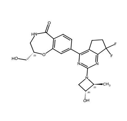 C[C@H]1[C@H](O)CN1c1nc(-c2ccc3c(c2)O[C@H](CO)CNC3=O)c2c(n1)C(F)(F)CC2